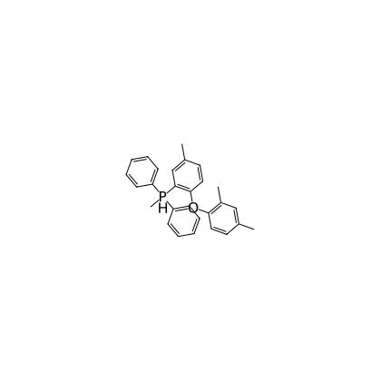 Cc1ccc(Oc2ccc(C)cc2[PH](C)(c2ccccc2)c2ccccc2)c(C)c1